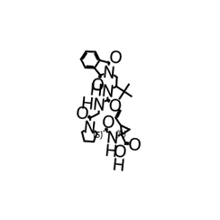 C=CC1C[C@]1(NC(=O)[C@@H]1CCCN1C(=O)CNC(=O)NC(CN1C(=O)c2ccccc2C1=O)C(C)(C)C)C(=O)O